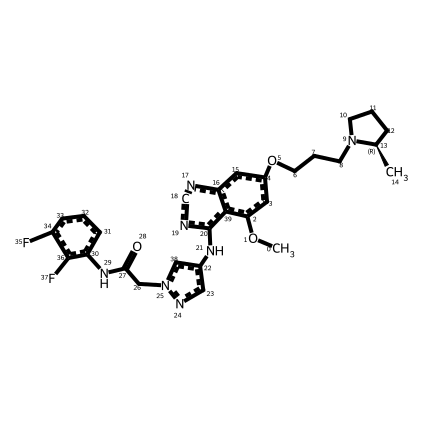 COc1cc(OCCCN2CCC[C@H]2C)cc2ncnc(Nc3cnn(CC(=O)Nc4cccc(F)c4F)c3)c12